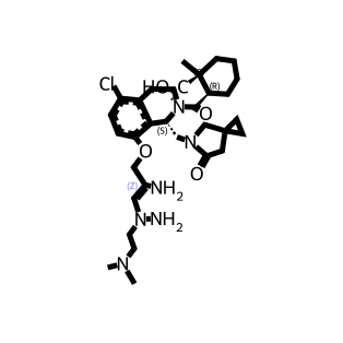 CN(C)CCN(N)/C=C(\N)COc1ccc(Cl)c2c1[C@@H](CN1CC3(CC3)CC1=O)N(C(=O)[C@@H]1CCCC[C@]1(C)C(=O)O)CC2